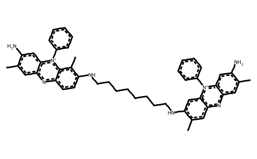 Cc1cc2nc3cc(C)c(NCCCCCCCCNc4ccc5nc6cc(C)c(N)cc6[n+](-c6ccccc6)c5c4C)cc3[n+](-c3ccccc3)c2cc1N